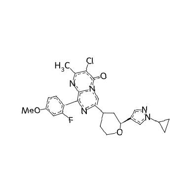 COc1ccc(-c2nc(C3CCO[C@H](c4cnn(C5CC5)c4)C3)cn3c(=O)c(Cl)c(C)nc23)c(F)c1